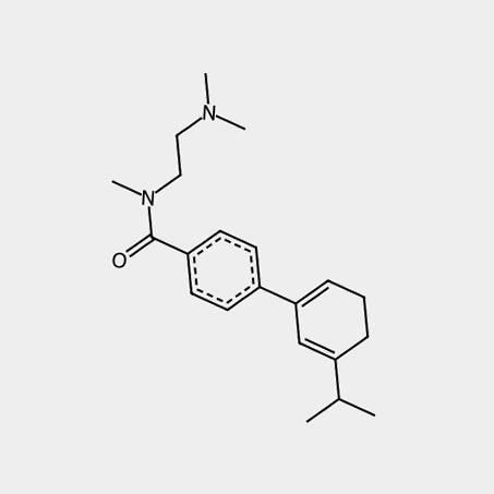 CC(C)C1=CC(c2ccc(C(=O)N(C)CCN(C)C)cc2)=CCC1